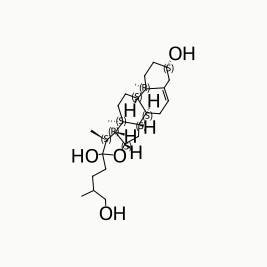 CC(CO)CCC1(O)O[C@H]2C[C@H]3[C@@H]4CC=C5C[C@@H](O)CC[C@]5(C)[C@H]4CC[C@]3(C)[C@H]2[C@@H]1C